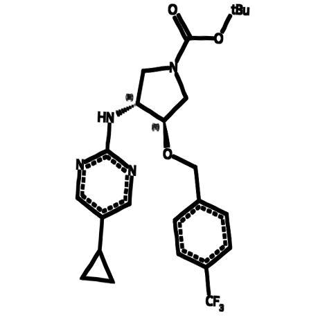 CC(C)(C)OC(=O)N1C[C@@H](Nc2ncc(C3CC3)cn2)[C@H](OCc2ccc(C(F)(F)F)cc2)C1